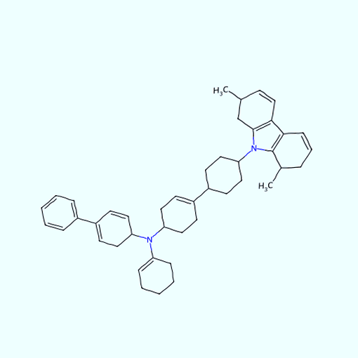 CC1C=Cc2c3c(n(C4CCC(C5=CCC(N(C6=CCCCC6)C6C=CC(c7ccccc7)=CC6)CC5)CC4)c2C1)C(C)CC=C3